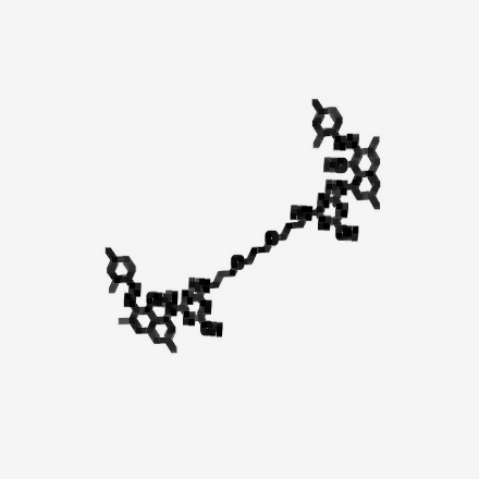 Cc1ccc(N=Nc2c(C)cc3cc(C)cc(Nc4nc(O)nc(NCCCOCCCOCCCNc5nc(O)nc(Nc6cc(C)cc7cc(C)c(N=Nc8ccc(C)cc8C)c(O)c67)n5)n4)c3c2O)c(C)c1